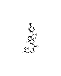 CC(O)Cc1ccc(C(=O)N2C[C@@H]3CC[C@@H](Nc4ccc(Br)nn4)[C@@H]3C2)s1